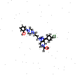 COc1ccccc1N1CCN(CC=CCn2nc(-c3ccc(Cl)cc3)c3c2CCN(C(C)=O)C3)CC1